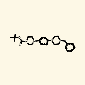 CC(C)(C)OC(=O)N1CCN(c2ccc(N3CCN(Cc4ccccc4)CC3)cc2)CC1